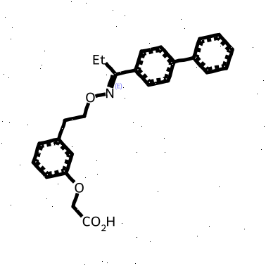 CC/C(=N\OCCc1cccc(OCC(=O)O)c1)c1ccc(-c2ccccc2)cc1